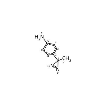 CC1(c2ccc(N)cc2)N=N1